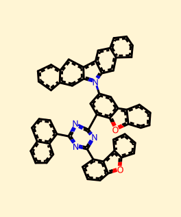 c1ccc2cc3c(cc2c1)c1cc2ccccc2cc1n3-c1cc(-c2nc(-c3cccc4ccccc34)nc(-c3cccc4oc5ccccc5c34)n2)c2oc3ccccc3c2c1